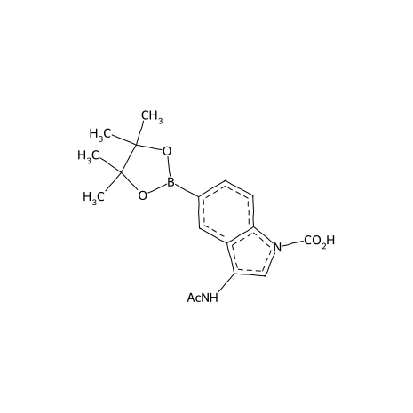 CC(=O)Nc1cn(C(=O)O)c2ccc(B3OC(C)(C)C(C)(C)O3)cc12